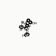 Cc1cccc2cc(O)cc(-c3c(F)cc4c(N5C[C@H]6CC[C@@](C)(C5)N6)nc(OCC56CCCN5C[C@H](F)C6)nc4c3F)c12